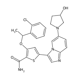 CC(Oc1cc(-c2cnc3ccc(N4CCC(O)C4)cn23)sc1C(N)=O)c1ccccc1Cl